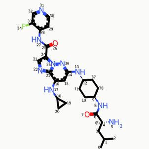 CC(C)C[C@@H](N)C(=O)N[C@H]1CC[C@H](Nc2cc(NC3CC3)c3ncc(C(=O)Nc4ccncc4F)n3n2)CC1